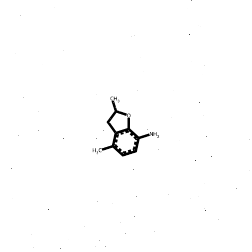 Cc1ccc(N)c2c1CC(C)O2